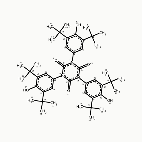 CC(C)(C)c1cc(-n2c(=O)n(-c3cc(C(C)(C)C)c(O)c(C(C)(C)C)c3)c(=O)n(-c3cc(C(C)(C)C)c(O)c(C(C)(C)C)c3)c2=O)cc(C(C)(C)C)c1O